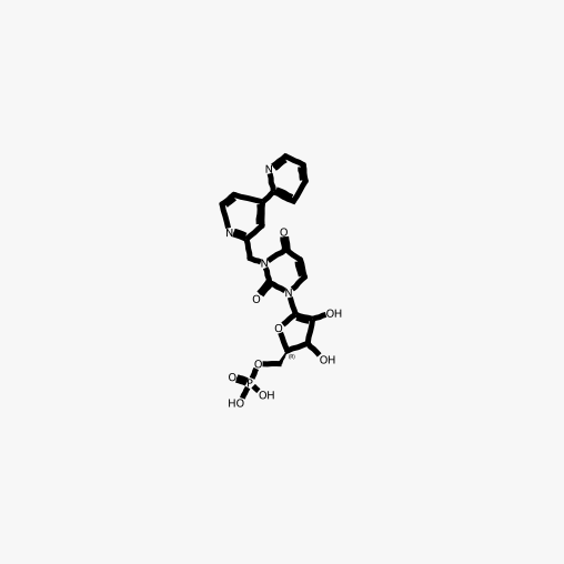 O=c1ccn(C2=C(O)C(O)[C@@H](COP(=O)(O)O)O2)c(=O)n1Cc1cc(-c2ccccn2)ccn1